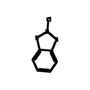 ClB1Sc2ccccc2S1